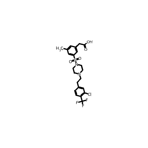 Cc1cc(CC(=O)O)cc(S(=O)(=O)N2CCN(CCc3ccc(C(F)(F)F)c(Cl)c3)CC2)c1